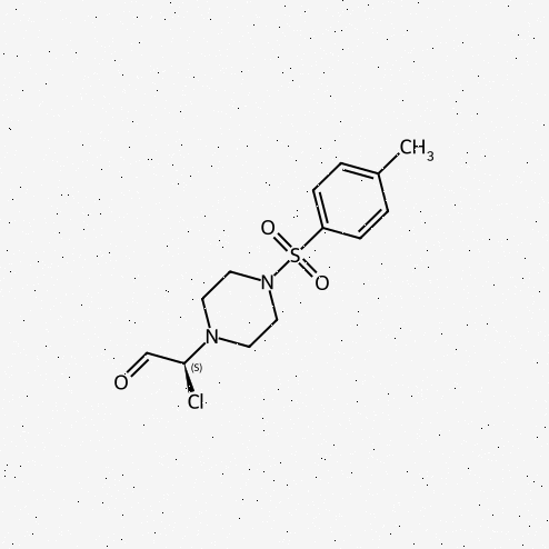 Cc1ccc(S(=O)(=O)N2CCN([C@@H](Cl)C=O)CC2)cc1